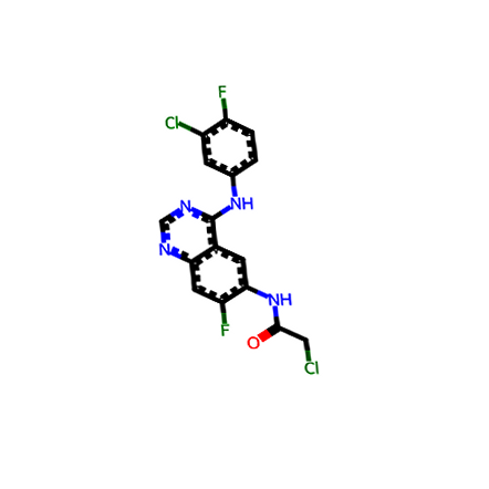 O=C(CCl)Nc1cc2c(Nc3ccc(F)c(Cl)c3)ncnc2cc1F